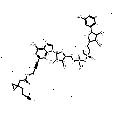 C#CCCC1(CC(=O)NCC#Cc2nc(N)c3ncn([C@H]4O[C@@H](COP(=O)(O)OP(=O)(O)OC[C@H]5O[C@@H](c6cccc(C(C)=O)c6)C(O)[C@H]5O)C(O)[C@H]4O)c3n2)CC1